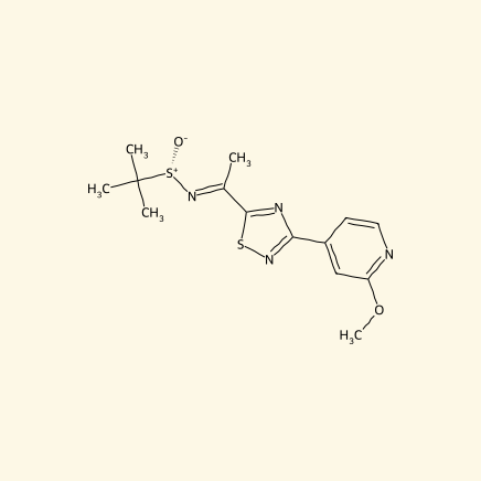 COc1cc(-c2nsc(/C(C)=N/[S@@+]([O-])C(C)(C)C)n2)ccn1